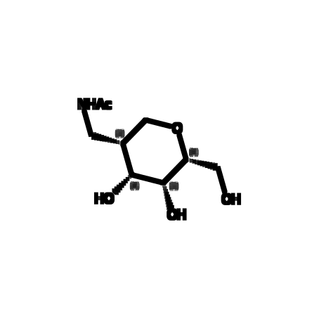 CC(=O)NC[C@@H]1CO[C@H](CO)[C@H](O)[C@@H]1O